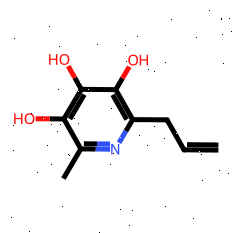 C=CCc1nc(C)c(O)c(O)c1O